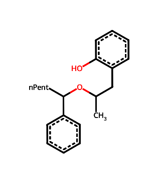 CCCCCC(OC(C)Cc1ccccc1O)c1ccccc1